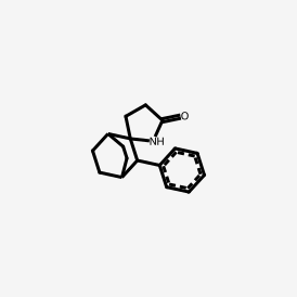 O=C1CCC2(N1)C1CCC(CC1)C2c1ccccc1